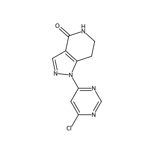 O=C1NCCc2c1cnn2-c1cc(Cl)ncn1